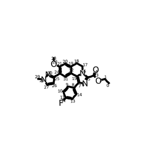 CCOC(=O)c1nc(-c2ccc(F)cc2)c2n1CCc1cc(OC)c(-c3ccn(C)n3)cc1-2